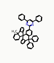 CC12C=CC=CC1C1(c3ccccc3C(c3ccccc3)(c3ccccc3)c3ccc(-c4nc(-c5ccccc5)cc(-c5ccccc5)n4)cc31)c1ccccc12